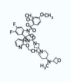 CCOc1ncccc1[C@]1(NC(=O)N2CC(N3CCC(N(C)C4COC4)CC3)C2)C(=O)N(S(=O)(=O)c2ccc(OC)cc2OC)c2cc(F)c(F)cc21